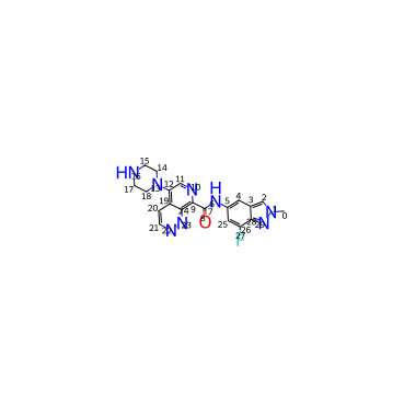 Cn1cc2cc(NC(=O)c3ncc(N4CCNCC4)c4ccnnc34)cc(F)c2n1